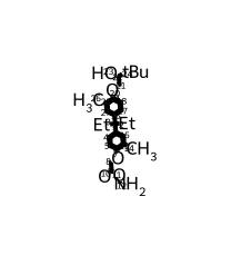 CCC(CC)(c1ccc(OCC(=O)ON)c(C)c1)c1ccc(OCC(O)C(C)(C)C)c(C)c1